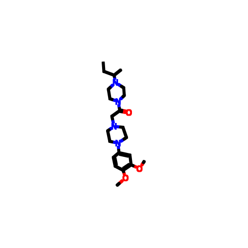 CCC(C)N1CCN(C(=O)CN2CCN(c3ccc(OC)c(OC)c3)CC2)CC1